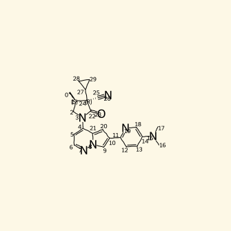 C[C@@H]1CN(c2ccnn3cc(-c4ccc(N(C)C)cn4)cc23)C(=O)[C@]1(C#N)C1CC1